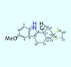 COc1ccc2[nH]c3c(c2c1)CCC1=CC2(CCC13C)SCCS2